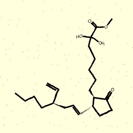 C=C[C@@H](CC=C[C@H]1CCC(=O)[C@@H]1CCCCCC(O)(O)C(=O)OC)CCCC